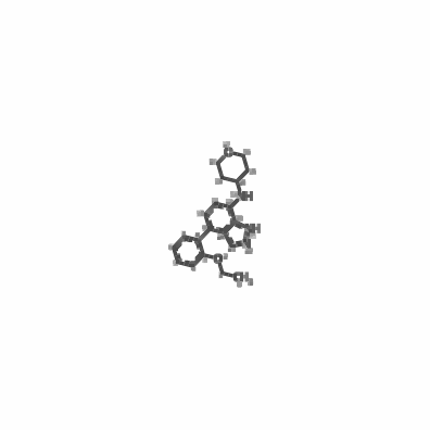 CCOc1ccccc1-c1ccc(NC2CCOCC2)c2[nH]ncc12